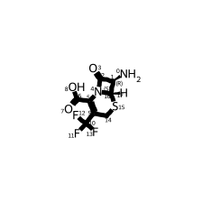 N[C@@H]1C(=O)N2C(C(=O)O)=C(C(F)(F)F)CS[C@@H]12